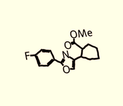 COC(=O)C1CCCCC1c1coc(-c2ccc(F)cc2)n1